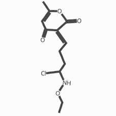 CCONC(Cl)CCC=C1C(=O)C=C(C)OC1=O